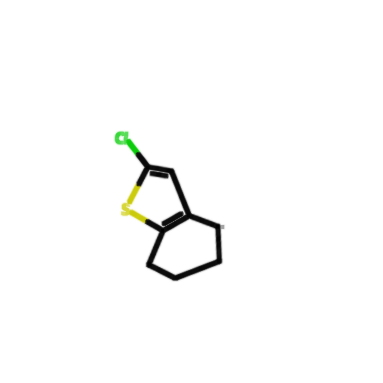 Clc1cc2c(s1)CCC[CH]2